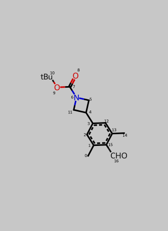 Cc1cc(C2CN(C(=O)OC(C)(C)C)C2)cc(C)c1C=O